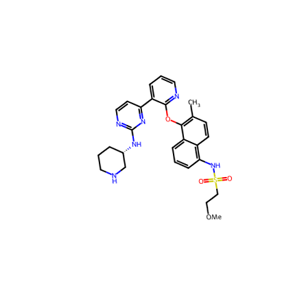 COCCS(=O)(=O)Nc1cccc2c(Oc3ncccc3-c3ccnc(N[C@H]4CCCNC4)n3)c(C)ccc12